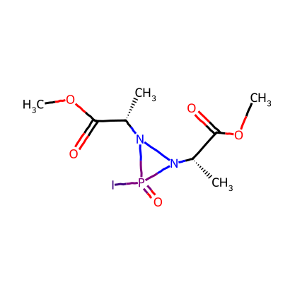 COC(=O)[C@H](C)N1N([C@@H](C)C(=O)OC)P1(=O)I